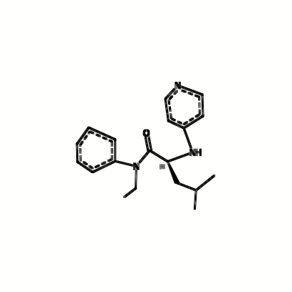 CCN(C(=O)[C@H](CC(C)C)Nc1ccncc1)c1ccccc1